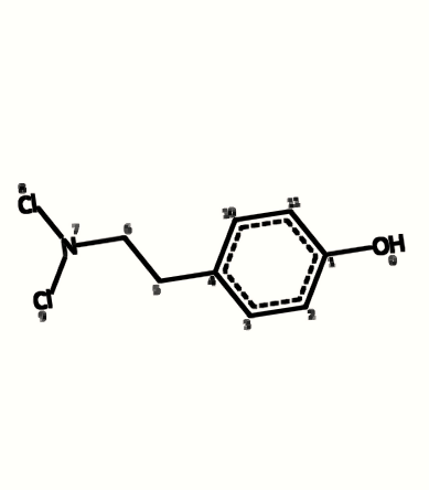 Oc1ccc(CCN(Cl)Cl)cc1